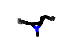 CC(C)CC1C(C(C)C)N1C